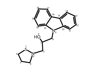 OC(CN1CCCS1)Cn1c2ccccc2c2ccccc21